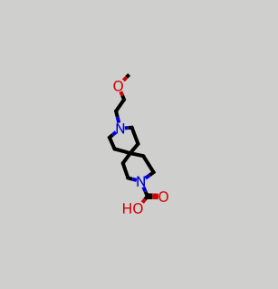 COCCN1CCC2(CC1)CCN(C(=O)O)CC2